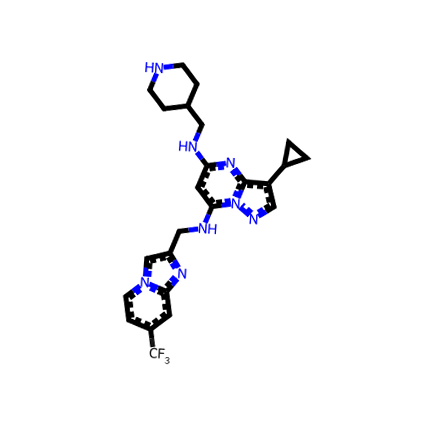 FC(F)(F)c1ccn2cc(CNc3cc(NCC4CCNCC4)nc4c(C5CC5)cnn34)nc2c1